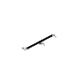 CCCCCCCCCCCCCCCN([SiH3])CCCCCCCCCCCCCCC